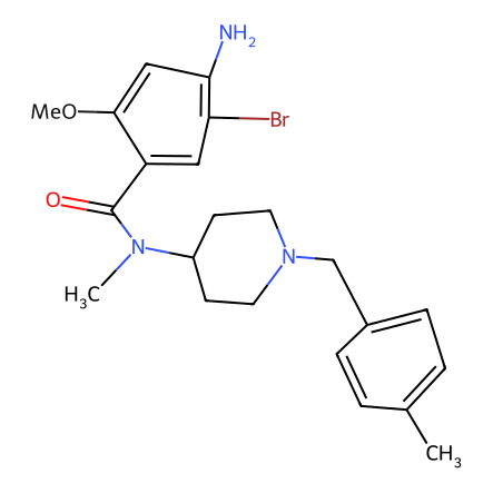 COc1cc(N)c(Br)cc1C(=O)N(C)C1CCN(Cc2ccc(C)cc2)CC1